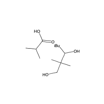 CC(C)C(=O)O.CCC(C)C(O)C(C)(C)CO